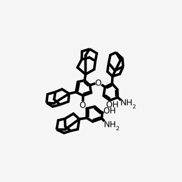 Nc1cc(C23CC4CC(CC(C4)C2)C3)c(Oc2cc(Oc3cc(O)c(N)cc3C34CC5CC(CC(C5)C3)C4)c(C34CC5CC(CC(C5)C3)C4)cc2C23CC4CC(CC(C4)C2)C3)cc1O